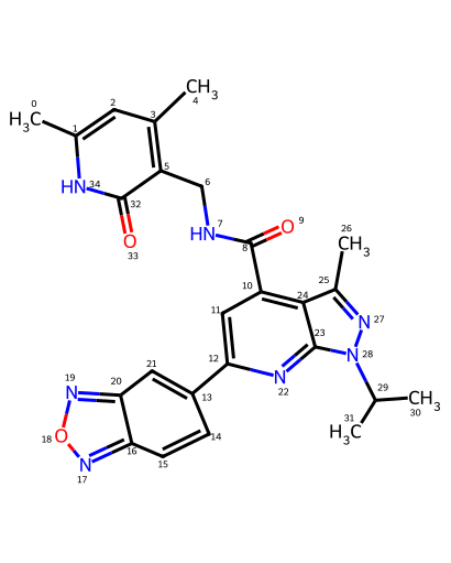 Cc1cc(C)c(CNC(=O)c2cc(-c3ccc4nonc4c3)nc3c2c(C)nn3C(C)C)c(=O)[nH]1